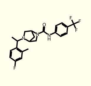 Cc1cc(F)ccc1C(C)N1CC2CC1CN2C(=O)Nc1ccc(C(F)(F)F)cc1